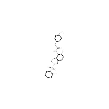 O=C(Cc1ccc(C(F)(F)F)cc1)Nc1c(Cl)ccc2c1CCN(S(=O)(=O)c1ccccc1Cl)C2